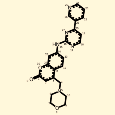 O=c1cc(CN2CCOCC2)c2ccc(Nc3nccc(-c4cccnc4)n3)cc2o1